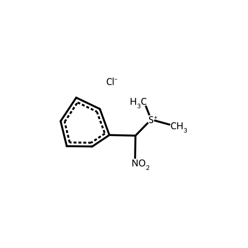 C[S+](C)C(c1ccccc1)[N+](=O)[O-].[Cl-]